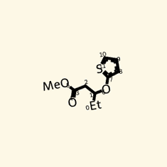 CCC(CC(=O)OC)Oc1cccs1